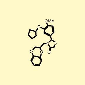 COc1ccc(C2SCC(=O)N2CC2COc3ccccc3O2)cc1OC1CCCC1